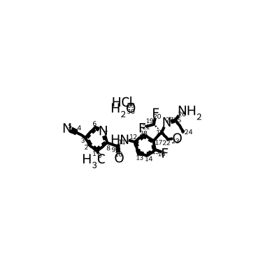 Cc1cc(C#N)cnc1C(=O)Nc1ccc(F)c([C@]2(C(F)F)COCC(N)=N2)c1.Cl.O